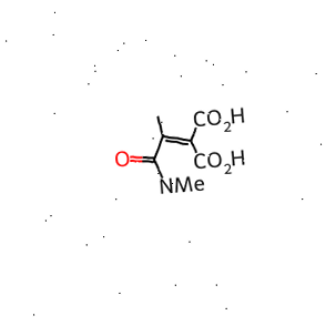 CNC(=O)C(C)=C(C(=O)O)C(=O)O